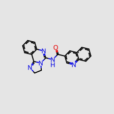 O=C(NC1=Nc2ccccc2C2=NCCN12)c1cnc2ccccc2c1